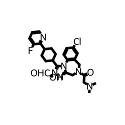 CN(C)CC(=O)N1Cc2cc(Cl)ccc2-n2c(nnc2C2CCC(c3ncccc3F)CC2)C1.O=CO